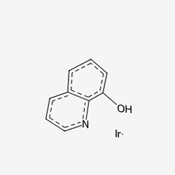 Oc1cccc2cccnc12.[Ir]